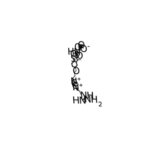 Cc1c(S(=O)(=O)NCP(=O)([O-])[O-])sc2ccc(OCCC[N+]34CC[N+](CCCNC(=N)N)(CC3)CC4)cc12